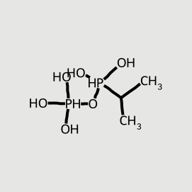 CC(C)[PH](O)(O)O[PH](O)(O)O